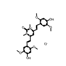 COc1cc(/C=C/c2cc(/C=C/c3cc(OC)c(O)cc3OC)[n+](C)c(=O)n2C)c(OC)cc1O.[Cl-]